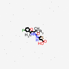 Cc1c(C(NC(=O)Nc2csc(C(=O)O)c2)C(C)C)oc2ccc(F)cc12